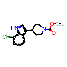 CC(C)(C)OC(=O)N1CCC(c2c[nH]c3c(Cl)cccc23)CC1